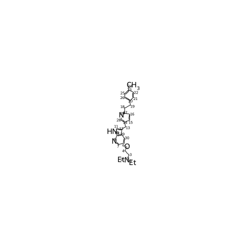 CCN(CC)CCOc1cnc2[nH]cc(Cc3ccc(CCc4ccc(C)cc4)nc3)c2c1